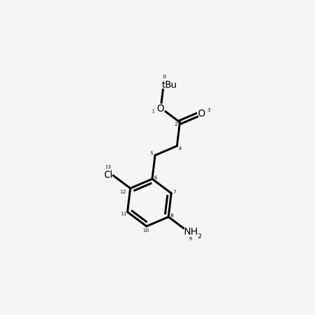 CC(C)(C)OC(=O)CCc1cc(N)ccc1Cl